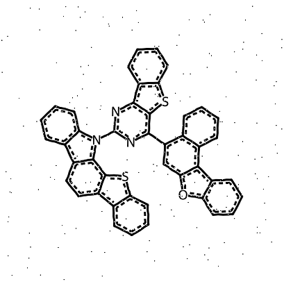 c1ccc2c(c1)oc1cc(-c3nc(-n4c5ccccc5c5ccc6c7ccccc7sc6c54)nc4c3sc3ccccc34)c3ccccc3c12